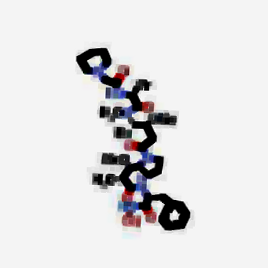 CC[C@H](C)[C@@H]([C@@H](CC(=O)N1CCC[C@H]1[C@H](OC)[C@@H](C)C(=O)N[C@@H](Cc1ccccc1)C(=O)NO)OC)N(C)C(=O)[C@@H](NC(=O)CN1CCCCC1)C(C)C